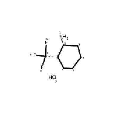 Cl.N[C@@H]1CCCC[C@@H]1C(F)(F)F